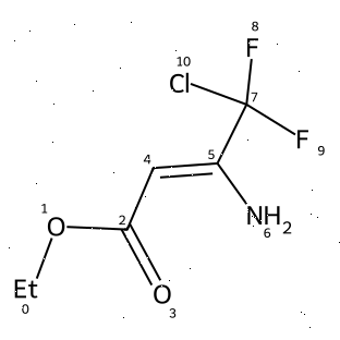 CCOC(=O)C=C(N)C(F)(F)Cl